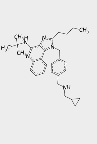 CCCCc1nc2c(NC(C)(C)C)nc3ccccc3c2n1Cc1ccc(CNCC2CC2)cc1